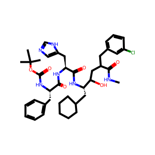 CNC(=O)C(Cc1cccc(Cl)c1)CC(O)[C@H](CC1CCCCC1)NC(=O)[C@H](Cc1cnc[nH]1)NC(=O)[C@H](Cc1ccccc1)NC(=O)OC(C)(C)C